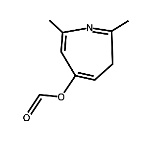 CC1=CC(OC=O)=CCC(C)=N1